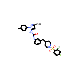 Cc1ccc(-n2nc(C(C)(C)C)cc2NC(=O)Nc2cccc(CC3CCN(S(=O)(=O)c4ccc(F)cc4Cl)CC3)c2)cc1